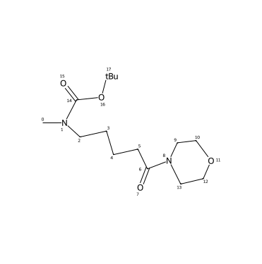 CN(CCCCC(=O)N1CCOCC1)C(=O)OC(C)(C)C